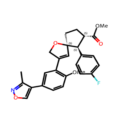 COC(=O)[C@H]1CC[C@@]2(C=C(c3cc(-c4conc4C)ccc3OC)CO2)[C@@H]1c1ccc(F)cc1